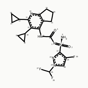 N[S@](=O)(=NC(=O)Nc1c2c(nc(C3CC3)c1C1CC1)CCC2)c1nn(C(F)F)cc1F